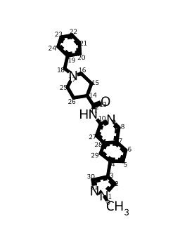 Cn1cc(-c2ccc3cnc(NC(=O)C4CCN(Cc5ccccc5)CC4)cc3c2)cn1